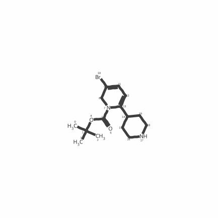 CC(C)(C)OC(=O)N1CC(Br)=CC=C1C1CCNCC1